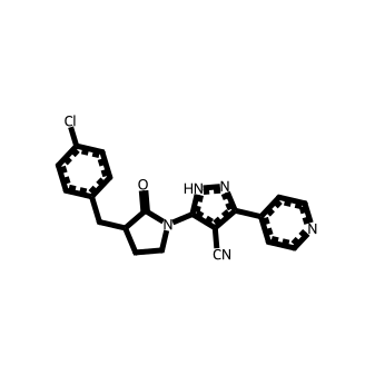 N#Cc1c(-c2ccncc2)n[nH]c1N1CCC(Cc2ccc(Cl)cc2)C1=O